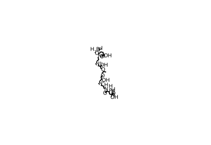 BP(I)C(CC(=O)O)C(=O)NCCC[N+](C)(C)CC(O)COC(C)COCC(O)C[N+](C)(C)CCCNC(=O)C(CC(=O)O)PBI